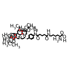 CCOC(=O)CN(CC(=O)OC(C)(C)C)[C@H](Cc1ccc(NC(=O)CCCC(=O)NCCCCC(N)C(=O)O)cc1)CN(CC(=O)OC(C)(C)C)[C@H]1CCCC[C@@H]1N(CC)CC(=O)OC(C)(C)C